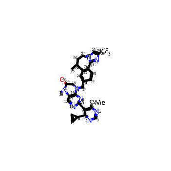 COc1ncnc(C2CC2)c1-c1ncc2c(n1)N(Cc1ccc3c(c1)C(C)CCn1cc(C(F)(F)F)nc1-3)CC(=O)N2C